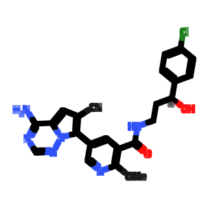 COc1ncc(-c2c(C#N)cc3c(N)ncnn23)cc1C(=O)NCC[C@H](O)c1ccc(Cl)cc1